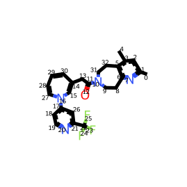 Cc1cc(C)c2c(n1)CCN(C(=O)CC1=CN(c3ccnc(C(F)(F)F)c3)C=CC=C1)CC2